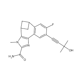 Cn1c(C(N)=O)nc2c1C1CC(C1)c1cc(F)c(C#CC(C)(C)O)cc1-2